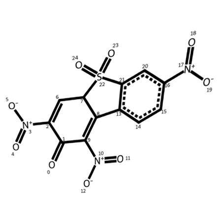 O=C1C([N+](=O)[O-])=CC2C(=C1[N+](=O)[O-])c1ccc([N+](=O)[O-])cc1S2(=O)=O